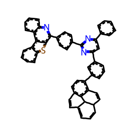 C1=CC2C=Cc3c(-c4cccc(-c5cc(-c6ccccc6)nc(-c6ccc(-c7nc8ccccc8c8c7sc7ccccc78)cc6)n5)c4)ccc4c3C2C(=C1)C=C4